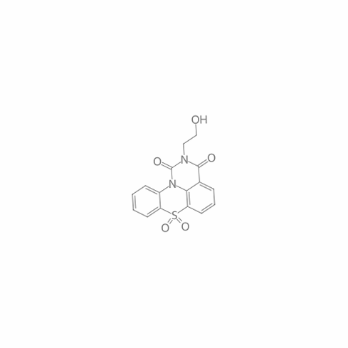 O=c1c2cccc3c2n(c(=O)n1CCO)-c1ccccc1S3(=O)=O